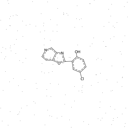 Oc1ccc(Cl)cc1-c1nc2cnccc2o1